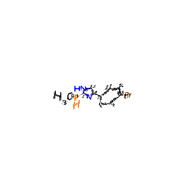 CPc1nc(-c2ccc(Br)cc2)c[nH]1